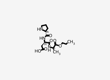 CCCOC(=O)[C@@H](C)NC(=O)[C@@H](CC(=O)O)NC(=O)[C@H]1CCCN1